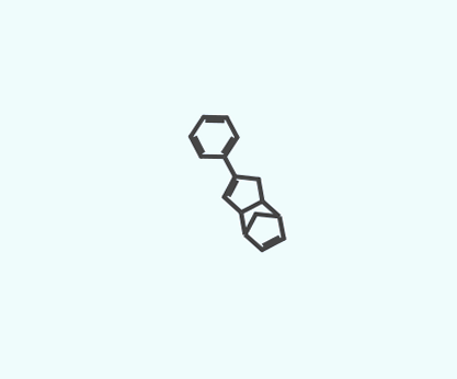 C1=CC2CC1C1C=C(c3ccccc3)CC21